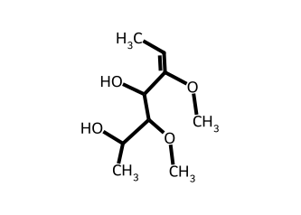 C/C=C(/OC)C(O)C(OC)C(C)O